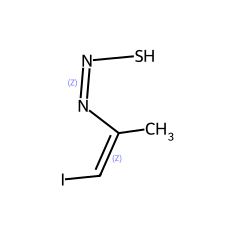 CC(=C/I)/N=N\S